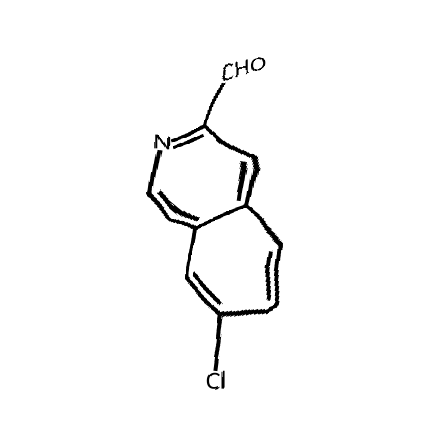 O=Cc1cc2ccc(Cl)cc2cn1